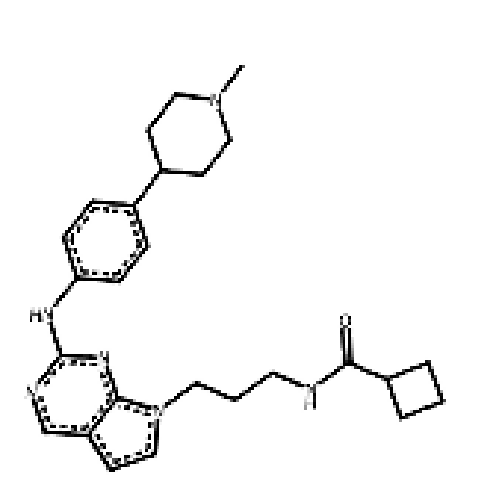 CN1CCC(c2ccc(Nc3ncc4ccn(CCCNC(=O)C5CCC5)c4n3)cc2)CC1